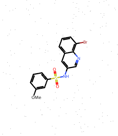 COc1cccc(S(=O)(=O)Nc2cnc3c(Br)cccc3c2)c1